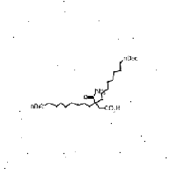 CCCCCCCCCCCCCCCCCCC(CCCCCCCCCCCCCCCCCC)(CC(=O)O)C(N)=O